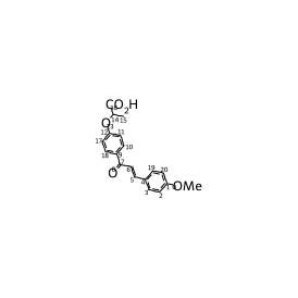 COc1ccc(/C=C/C(=O)c2ccc(OC(C)C(=O)O)cc2)cc1